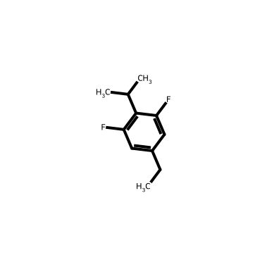 CCc1cc(F)c(C(C)C)c(F)c1